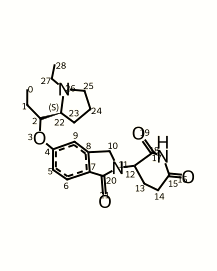 CCC(Oc1ccc2c(c1)CN(C1CCC(=O)NC1=O)C2=O)[C@@H]1CCCN1CC